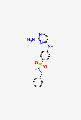 Nc1nccc(Nc2ccc(S(=O)(=O)NCc3ccccc3)cc2)n1